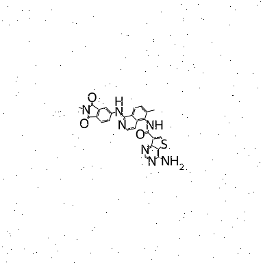 Cc1ccc2c(Nc3ccc4c(c3)C(=O)N(C)C4=O)nccc2c1NC(=O)c1csc2c(N)ncnc12